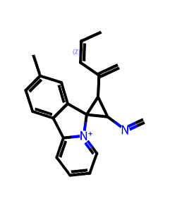 C=NC1C(C(=C)/C=C\C)C12c1cc(C)ccc1-c1cccc[n+]12